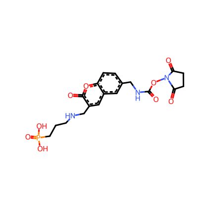 O=C(NCc1ccc2oc(=O)c(CNCCCP(=O)(O)O)cc2c1)ON1C(=O)CCC1=O